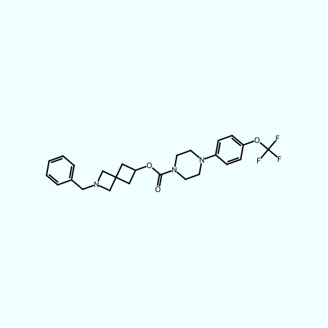 O=C(OC1CC2(C1)CN(Cc1ccccc1)C2)N1CCN(c2ccc(OC(F)(F)F)cc2)CC1